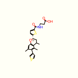 Cc1cc2c(c(C)c1-c1ccsc1)C(C)C[C@@H](c1ccc(C(=O)NCCC(=O)O)s1)O2